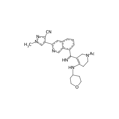 CC(=O)N1CCC(NC2CCOCC2)=C(C(=N)c2cccc3cc(-c4cn(C)nc4C#N)ncc23)C1